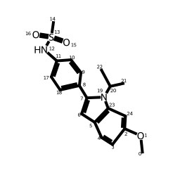 COc1ccc2cc(-c3ccc(NS(C)(=O)=O)cc3)n(C(C)C)c2c1